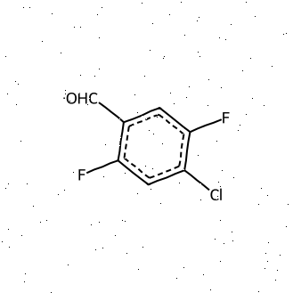 O=[C]c1cc(F)c(Cl)cc1F